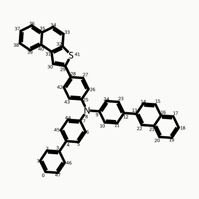 c1ccc(-c2ccc(N(c3ccc(-c4ccc5ccccc5c4)cc3)c3ccc(-c4cc5c(ccc6ccccc65)s4)cc3)cc2)cc1